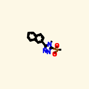 Cn1c(-c2ccc3ccccc3c2)nnc1S(C)(=O)=O